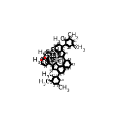 Cc1cc(C)c(C)c(-c2cccc3c2C=C(c2ccccc2)[CH]3[Zr]([Cl])([Cl])([BH]N([Si](C)(C)C)[Si](C)(C)C)[CH]2C(c3ccccc3)=Cc3c(-c4cc(C)cc(C)c4C)cccc32)c1